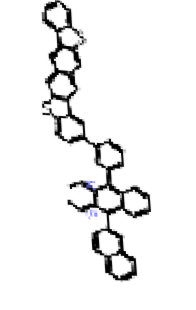 C/C=c1/c(-c2cccc(-c3ccc4sc5cc6cc7c(cc6cc5c4c3)sc3ccccc37)c2)c2ccccc2c(-c2ccc3ccccc3c2)/c1=C/C